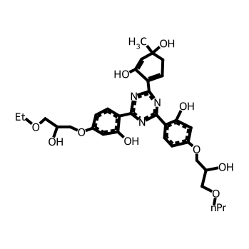 CCCOCC(O)COc1ccc(-c2nc(C3=CCC(C)(O)C=C3O)nc(-c3ccc(OCC(O)COCC)cc3O)n2)c(O)c1